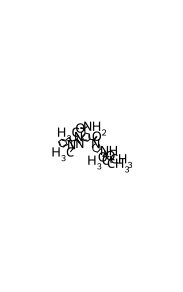 CCn1c(-c2nc3cc(C(=O)N4CCCC(NC(=O)OC(C)(C)C)C4)cc(C(N)=O)c3n2C)cc2ccccc21